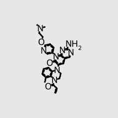 C=CC(=O)N1CCN(c2cc3cnc(N)nc3n(-c3ccc(OCCN(C)C)nc3)c2=O)c2cccc(C)c21